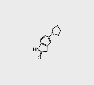 O=C1Cc2cc(N3CCCC3)ccc2N1